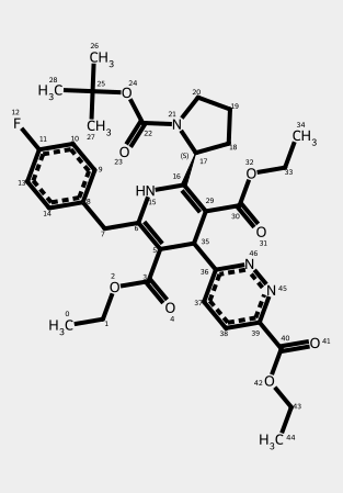 CCOC(=O)C1=C(Cc2ccc(F)cc2)NC([C@@H]2CCCN2C(=O)OC(C)(C)C)=C(C(=O)OCC)C1c1ccc(C(=O)OCC)nn1